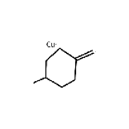 [CH]=C1CCC(C)CC1.[Cu]